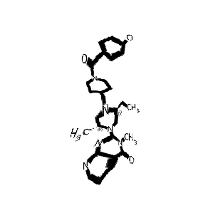 CC[C@H]1CN(c2nc3ncccc3c(=O)n2C)[C@H](C)CN1C1CCN(C(=O)c2ccc(Cl)cc2)CC1